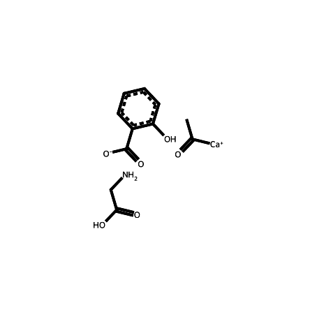 C[C](=O)[Ca+].NCC(=O)O.O=C([O-])c1ccccc1O